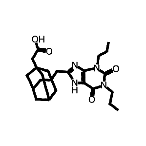 CCCn1c(=O)c2[nH]c(CC34CC5CC(CC(CC(=O)O)(C5)C3)C4)nc2n(CCC)c1=O